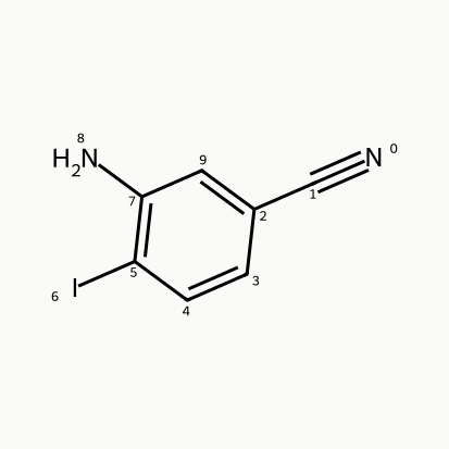 N#Cc1ccc(I)c(N)c1